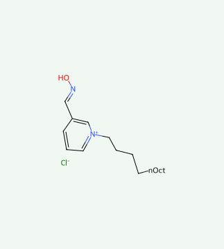 CCCCCCCCCCCC[n+]1cccc(C=NO)c1.[Cl-]